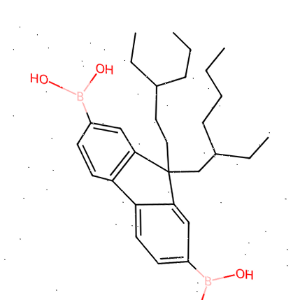 CCCCC(CC)CC1(CCC(CC)CCC)c2cc(B(O)O)ccc2-c2ccc(B(O)O)cc21